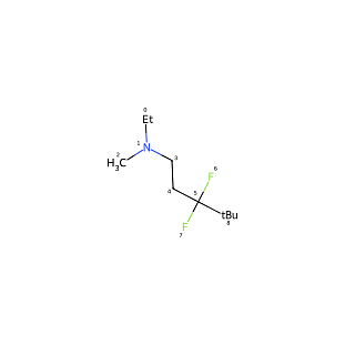 CCN(C)CCC(F)(F)C(C)(C)C